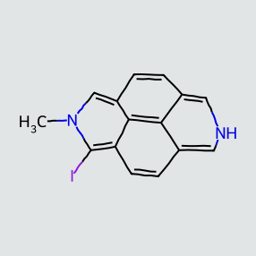 CN1C=c2ccc3c4c(ccc(c24)=C1I)=CNC=3